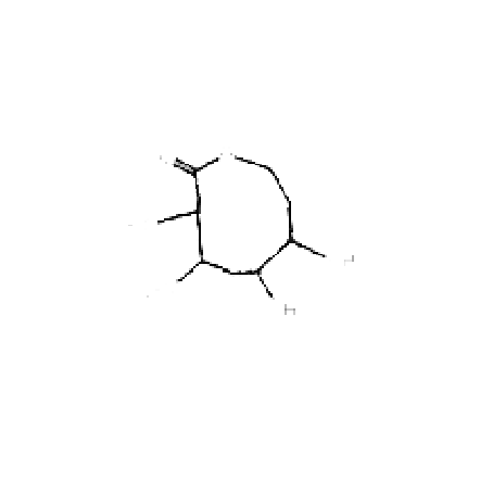 CC1CCOC(=O)C(C)C(O)CC1C